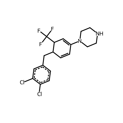 FC(F)(F)C1C=C(N2CCNCC2)C=CC1Cc1ccc(Cl)c(Cl)c1